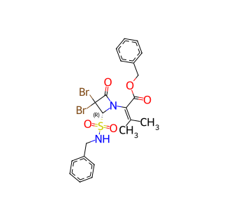 CC(C)=C(C(=O)OCc1ccccc1)N1C(=O)C(Br)(Br)[C@H]1S(=O)(=O)NCc1ccccc1